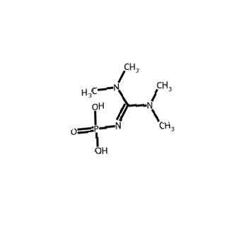 CN(C)C(=NP(=O)(O)O)N(C)C